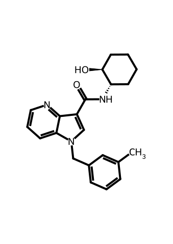 Cc1cccc(Cn2cc(C(=O)N[C@H]3CCCC[C@@H]3O)c3ncccc32)c1